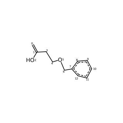 C=C(O)CCOCc1ccccc1